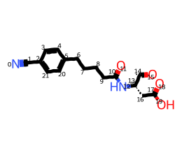 N#Cc1ccc(CCCCC(=O)N[C@H]([C]=O)CC(=O)O)cc1